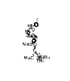 COCCN(CCCOc1cc2ncnc(Nc3cnn(CC(=O)Nc4cccc(F)c4)c3)c2cc1OC)CCOP(=O)(OC(C)(C)C)OC(C)(C)C